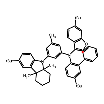 Cc1cc(N(c2ccc(C(C)(C)C)cc2-c2ccccc2)c2coc3cc(C(C)(C)C)ccc23)cc(N2c3ccc(C(C)(C)C)cc3C3(C)CCCCC23C)c1